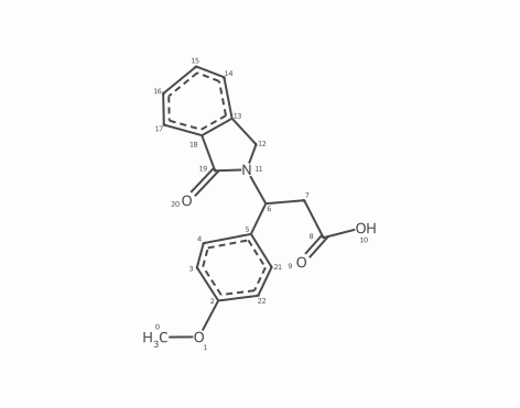 COc1ccc(C(CC(=O)O)N2Cc3ccccc3C2=O)cc1